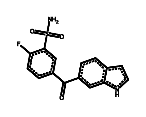 NS(=O)(=O)c1cc(C(=O)c2ccc3cc[nH]c3c2)ccc1F